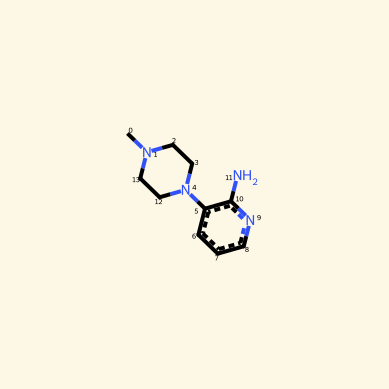 CN1CCN(c2cccnc2N)CC1